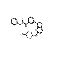 N[C@H]1CC[C@H](Nc2ccc3ncc(-c4cccc(NC(=O)Cc5ccccc5)c4)n3n2)CC1